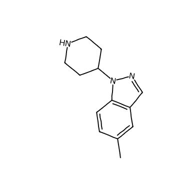 Cc1ccc2c(cnn2C2CCNCC2)c1